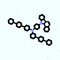 C1=CC2c3ccccc3N(c3ccc(N(c4ccc(-c5ccc(-c6ccccc6)cc5)cc4)c4cccc(-c5ccc(-c6ccccc6)cc5)c4)cc3)C2c2ccccc21